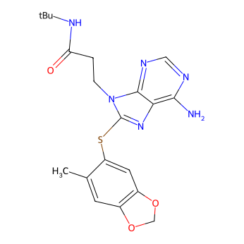 Cc1cc2c(cc1Sc1nc3c(N)ncnc3n1CCC(=O)NC(C)(C)C)OCO2